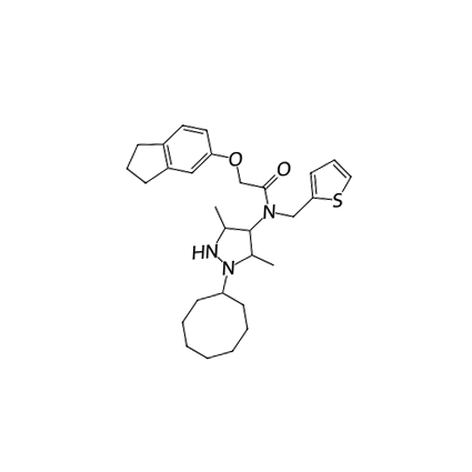 CC1NN(C2CCCCCCC2)C(C)C1N(Cc1cccs1)C(=O)COc1ccc2c(c1)CCC2